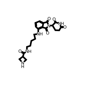 O=C1CCC(N2C(=O)c3cccc(NCCCCCNC(=O)C4CNC4)c3C2=O)C(=O)N1